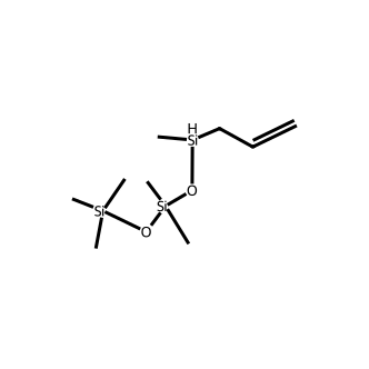 C=CC[SiH](C)O[Si](C)(C)O[Si](C)(C)C